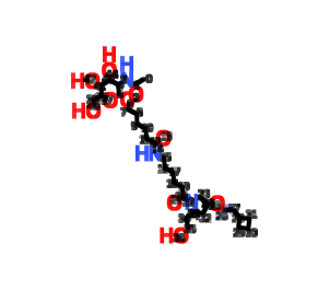 CC(=O)NC1C(OCCCCCC(=O)NCCCCCC(=O)N2C[C@H](O/C=C/C3CCC3)C[C@H]2CCO)OC(CO)C(O)C1O